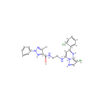 Cc1nn(-c2ccccc2)nc1C(=O)NCCNc1cc(-c2ccccc2Cl)nc2c(Br)cnn12